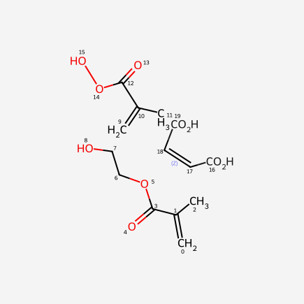 C=C(C)C(=O)OCCO.C=C(C)C(=O)OO.O=C(O)/C=C\C(=O)O